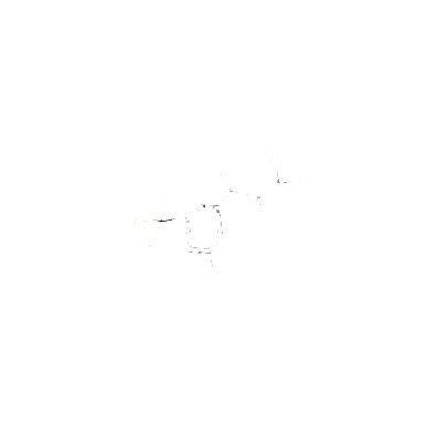 O=C(C(F)F)C(F)c1cc(Cl)cc(C(F)(F)F)c1